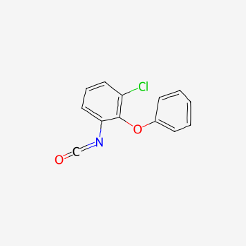 O=C=Nc1cccc(Cl)c1Oc1ccccc1